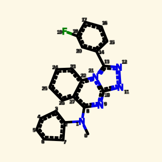 CN(c1ccccc1)c1nc2nnc(-c3cccc(F)c3)n2c2ccccc12